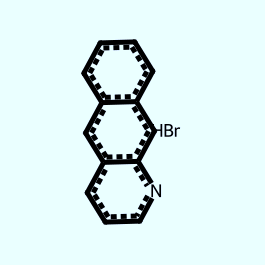 Br.c1ccc2cc3ncccc3cc2c1